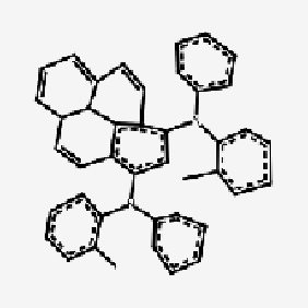 Cc1ccccc1N(c1ccccc1)c1cc(N(c2ccccc2)c2ccccc2C)c2c3c1C=CC1=CC=CC(C=C2)C13